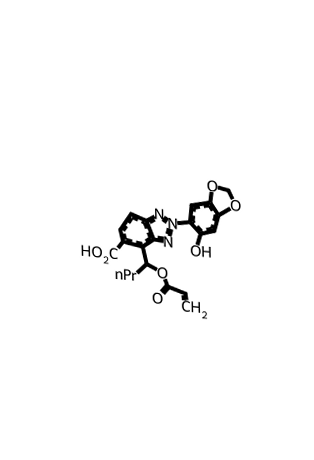 C=CC(=O)OC(CCC)c1c(C(=O)O)ccc2nn(-c3cc4c(cc3O)OCO4)nc12